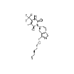 CCC=CCCOCc1nsc2ccc(-n3c(=O)[nH]c(C(F)(F)F)c(C)c3=O)cc12